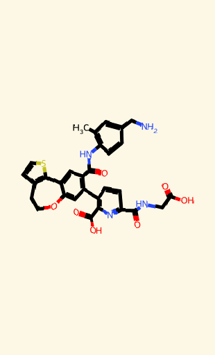 Cc1cc(CN)ccc1NC(=O)c1cc2c(cc1-c1ccc(C(=O)NCC(=O)O)nc1C(=O)O)OCCc1ccsc1-2